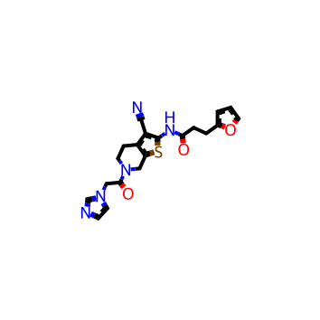 N#Cc1c(NC(=O)CCc2ccco2)sc2c1CCN(C(=O)Cn1ccnc1)C2